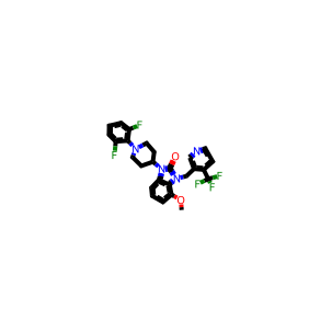 COc1cccc2c1n(Cc1cnccc1C(F)(F)F)c(=O)n2C1CCN(c2c(F)cccc2F)CC1